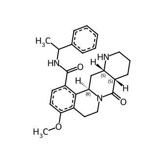 COc1ccc(C(=O)NC(C)c2ccccc2)c2c1CCN1C(=O)[C@H]3CCCN[C@H]3C[C@H]21